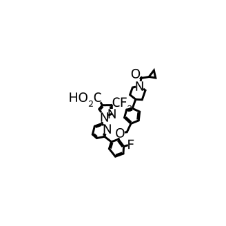 O=C(O)c1cn(-c2cccc(-c3cccc(F)c3OCc3ccc(C4CCN(C(=O)C5CC5)CC4)cc3)n2)nc1C(F)(F)F